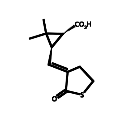 CC1(C)[C@H](C=C2CCSC2=O)[C@H]1C(=O)O